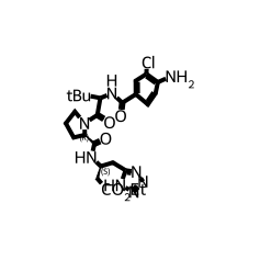 CCOC(=O)C[C@H](Cc1nnn[nH]1)NC(=O)[C@H]1CCCN1C(=O)C(NC(=O)c1ccc(N)c(Cl)c1)C(C)(C)C